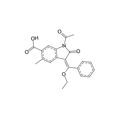 CCOC(=C1C(=O)N(C(C)=O)c2cc(C(=O)O)c(C)cc21)c1ccccc1